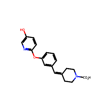 O=C(O)N1CCC(=Cc2cccc(Oc3ccc(O)cn3)c2)CC1